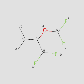 CC(C)C(OC(F)F)C(F)F